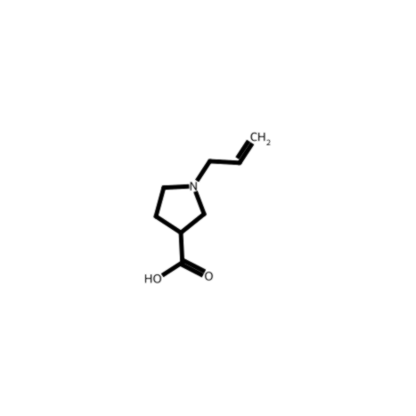 C=CCN1CCC(C(=O)O)C1